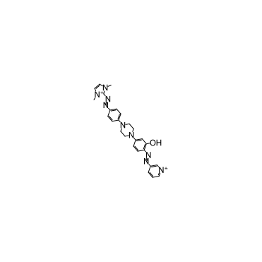 Cn1cc[n+](C)c1/N=N/c1ccc(N2CCN(c3ccc(/N=N/c4ccc[n+](C)c4)c(O)c3)CC2)cc1